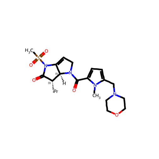 CC(C)[C@@H]1C(=O)N(S(C)(=O)=O)C2=CCN(C(=O)c3ccc(CN4CCOCC4)n3C)[C@H]21